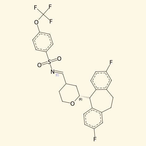 O=S(=O)(/N=C/C1CCO[C@@H](C2c3ccc(F)cc3CCc3cc(F)ccc32)C1)c1ccc(OC(F)(F)F)cc1